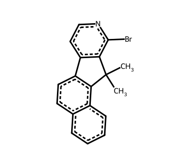 CC1(C)c2c(ccnc2Br)-c2ccc3ccccc3c21